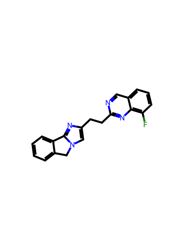 Fc1cccc2cnc(CCc3cn4c(n3)-c3ccccc3C4)nc12